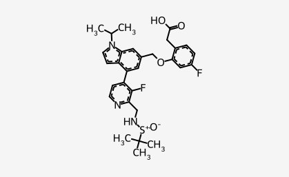 CC(C)n1ccc2c(-c3ccnc(CN[S+]([O-])C(C)(C)C)c3F)cc(COc3cc(F)ccc3CC(=O)O)cc21